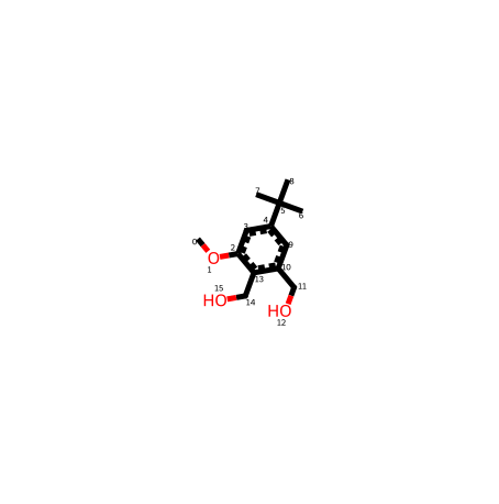 COc1cc(C(C)(C)C)cc(CO)c1CO